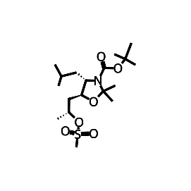 CC(C)C[C@H]1[C@H](C[C@@H](C)OS(C)(=O)=O)OC(C)(C)N1C(=O)OC(C)(C)C